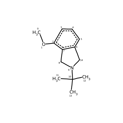 COc1cccc2c1CN(C(C)(C)C)C2